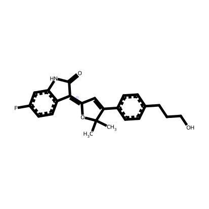 CC1(C)O/C(=C2/C(=O)Nc3cc(F)ccc32)C=C1c1ccc(CCCO)cc1